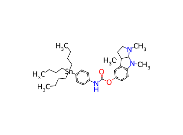 CCC[CH2][Sn]([CH2]CCC)([CH2]CCC)[c]1ccc(NC(=O)Oc2ccc3c(c2)[C@@]2(C)CCN(C)C2N3C)cc1